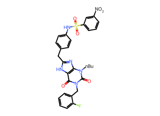 CCCCn1c(=O)n(Cc2ccccc2F)c(=O)c2[nH]c(Cc3ccc(NS(=O)(=O)c4cccc([N+](=O)[O-])c4)cc3)nc21